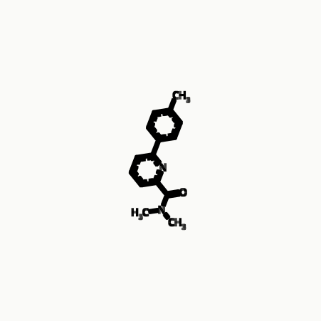 Cc1ccc(-c2cccc(C(=O)N(C)C)n2)cc1